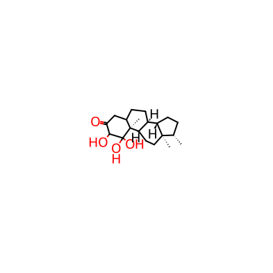 C[C@H]1CC[C@H]2[C@@H]3CCC4CC(=O)C(O)C(O)(O)[C@]4(C)[C@H]3CC[C@]12C